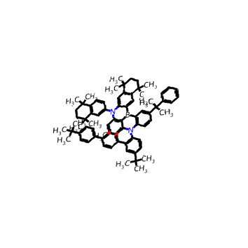 Cc1cc2c3c(c1)N(c1ccc(C(C)(C)C)cc1-c1ccc(-c4ccc(C(C)(C)C)cc4)cc1)c1ccc(C(C)(C)c4ccccc4)cc1B3c1cc3c(cc1N2c1ccc2c(c1)C(C)(C)CCC2(C)C)C(C)(C)CCC3(C)C